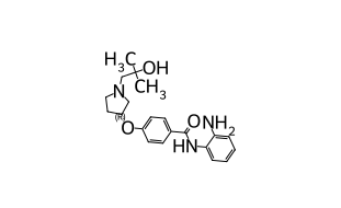 CC(C)(O)CN1CC[C@@H](Oc2ccc(C(=O)Nc3ccccc3N)cc2)C1